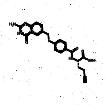 C#CCC[C@H](NC(=O)c1ccc(SCc2ccc3nc(N)[nH]c(=O)c3c2)cc1)C(=O)OC